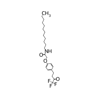 CCCCCCCCCCCCNC(=O)COc1ccc(CCC(=O)C(F)(F)F)cc1